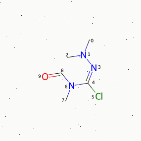 CN(C)/N=C(/Cl)N(C)C=O